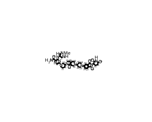 CN/C=C(\C=N)Nc1nc(N2CCCC(N3CCC4(CCN(C5CCN(c6ccc7c(c6)C(=O)N(C6CCC(=O)NC6=O)C7=O)CC5)CC4)C3=O)C2)cnc1C(N)=O